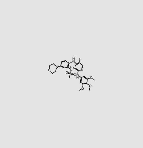 COc1cc(Nc2ncc(F)c(Nc3ccc(N4CCOCC4)cc3NS(C)(=O)=O)n2)cc(OC)c1OC